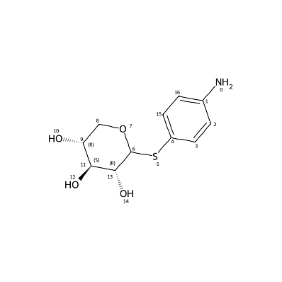 Nc1ccc(SC2OC[C@@H](O)[C@H](O)[C@H]2O)cc1